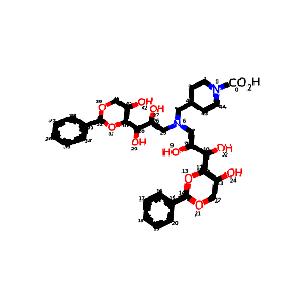 O=C(O)N1CCC(CN(CC(O)C(O)C2OC(c3ccccc3)OCC2O)CC(O)C(O)C2OC(c3ccccc3)OCC2O)CC1